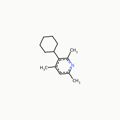 Cc1[c]c(C)c(C2CCCCC2)c(C)n1